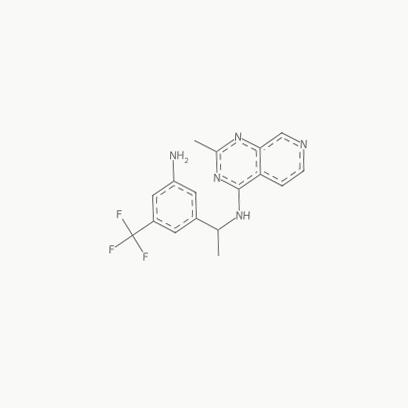 Cc1nc(NC(C)c2cc(N)cc(C(F)(F)F)c2)c2ccncc2n1